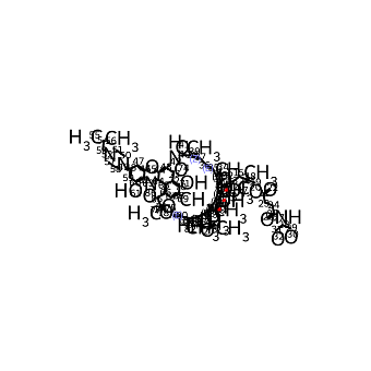 CC(=O)O[C@H]1[C@H](C)[C@H](O)[C@H](C)[C@@H](OC(=O)CC(C)(C)COC(=O)CCC(=O)NC(C=O)C=O)[C@@H](C)/C=C/C=C(/C)C(=O)Nc2c3oc4cc(N5CCN(CC(C)C)CC5)cc(O)c4nc-3c3c4c(c(C)c(O)c3c2=O)O[C@](C)(O/C=C/[C@H](C)[C@H]1C)C4=O